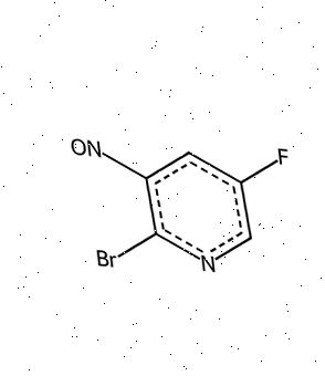 O=Nc1cc(F)cnc1Br